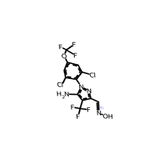 Nc1c(C(F)(F)F)c(/C=N/O)nn1-c1c(Cl)cc(OC(F)(F)F)cc1Cl